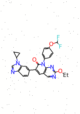 CCOc1ncc2cc(-c3ccc4ncn(C5CC5)c4c3)c(=O)n(-c3ccc(OC(F)F)cc3)c2n1